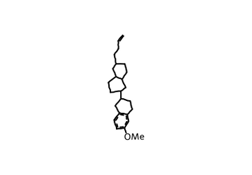 C=CCCC1CCC2CC(C3CCc4cc(OC)ccc4C3)CCC2C1